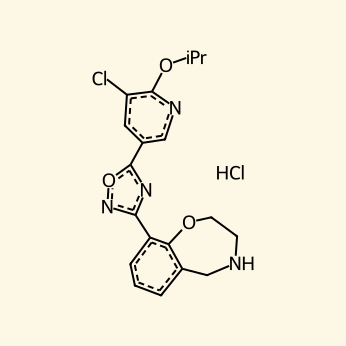 CC(C)Oc1ncc(-c2nc(-c3cccc4c3OCCNC4)no2)cc1Cl.Cl